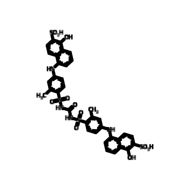 Cc1cc(Nc2cccc3c(O)c(S(=O)(=O)O)ccc23)ccc1S(=O)(=O)NC(=O)NS(=O)(=O)c1ccc(Nc2cccc3c(O)c(S(=O)(=O)O)ccc23)cc1C